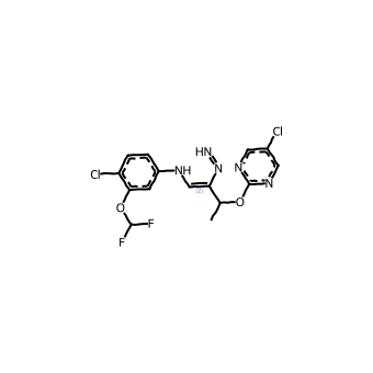 CC(Oc1ncc(Cl)cn1)/C(=C/Nc1ccc(Cl)c(OC(F)F)c1)N=N